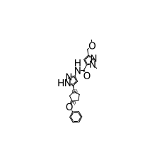 COCc1cc(C(=O)Nc2cc([C@H]3CC[C@@H](Oc4ccccc4)C3)[nH]n2)n(C)n1